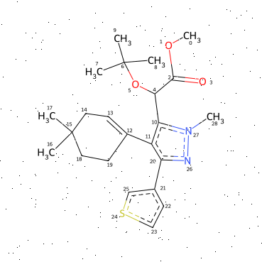 COC(=O)C(OC(C)(C)C)c1c(C2=CCC(C)(C)CC2)c(-c2ccsc2)nn1C